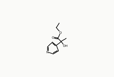 CCOC(=O)C(C)(O)c1ccncc1